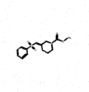 CC(C)(C)OC(=O)N1CCC/C(=C\S(=O)(=O)c2ccccc2)C1